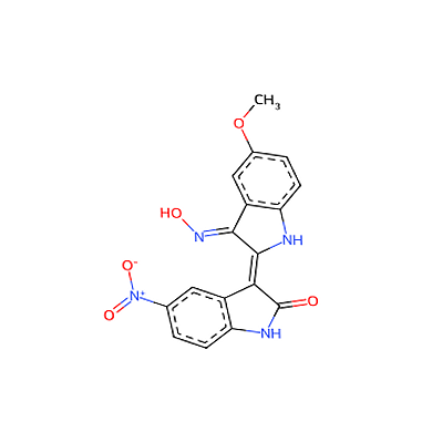 COc1ccc2c(c1)C(=N\O)/C(=C1/C(=O)Nc3ccc([N+](=O)[O-])cc31)N2